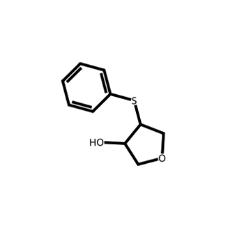 OC1COCC1Sc1ccccc1